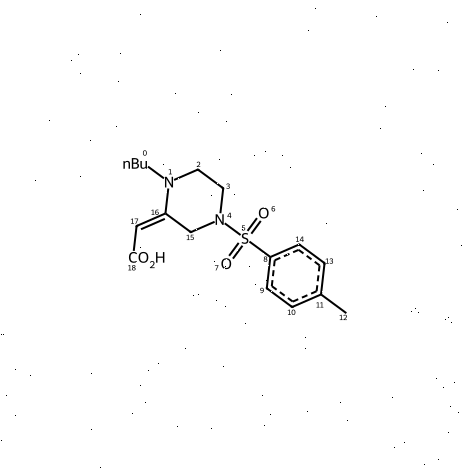 CCCCN1CCN(S(=O)(=O)c2ccc(C)cc2)C/C1=C\C(=O)O